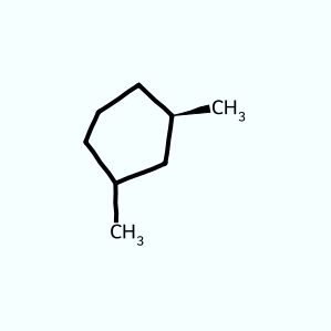 CC1CCC[C@@H](C)C1